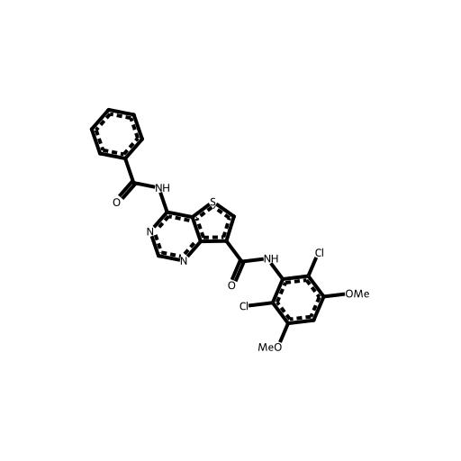 COc1cc(OC)c(Cl)c(NC(=O)c2csc3c(NC(=O)c4ccccc4)ncnc23)c1Cl